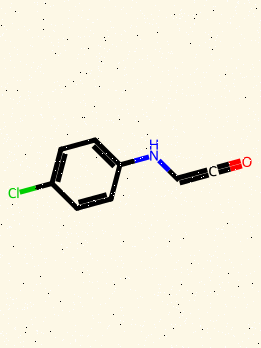 O=C=CNc1ccc(Cl)cc1